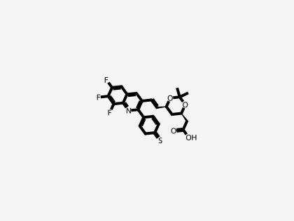 CC1(C)O[C@@H](CC(=O)O)C[C@@H](/C=C/c2cc3cc(F)c(F)c(F)c3nc2C2=CCC(=S)C=C2)O1